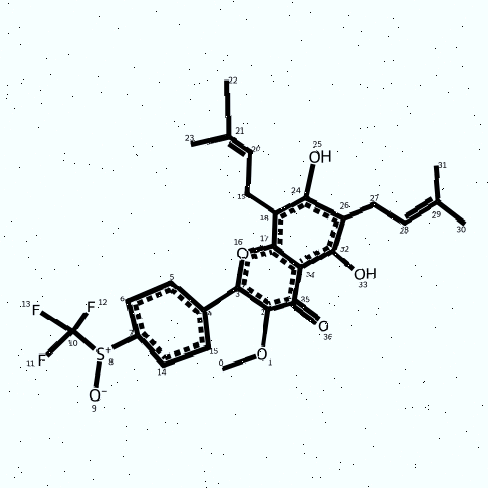 COc1c(-c2ccc([S+]([O-])C(F)(F)F)cc2)oc2c(CC=C(C)C)c(O)c(CC=C(C)C)c(O)c2c1=O